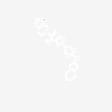 O=C(N1CCc2nc[nH]c2C1)C1(c2nnc(-c3cnc(NC4CC5=C(CCC=C5)C4)nc3)o2)CC1